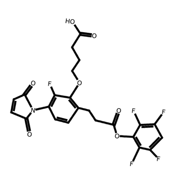 O=C(O)CCCOc1c(CCC(=O)Oc2c(F)c(F)cc(F)c2F)ccc(N2C(=O)C=CC2=O)c1F